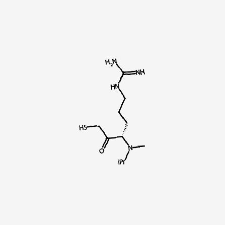 CC(C)N(C)[C@@H](CCCNC(=N)N)C(=O)CS